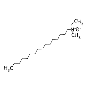 CCCCCCCCCCCCCCCC[N+](C)([O-])CC